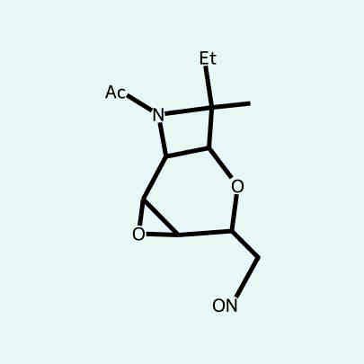 CCC1(C)C2OC(CN=O)C3OC3C2N1C(C)=O